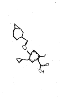 O=C(O)c1cc(C2CC2)c(OCC2CCC3CC3C2)cc1F